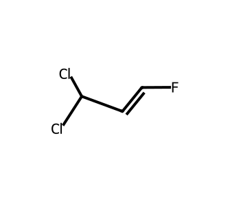 FC=CC(Cl)Cl